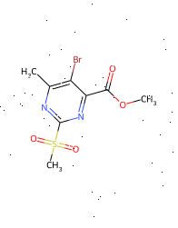 COC(=O)c1nc(S(C)(=O)=O)nc(C)c1Br